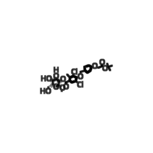 CO[C@H]1O[C@H](CO)[C@@H](O)[C@H](O)[C@H]1OC(=O)c1cc(Cl)c(OCc2ccc(OCC(=O)OC(C)(C)C)cc2)c(Cl)c1C